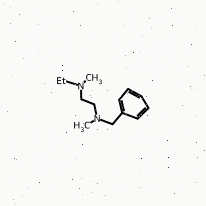 CCN(C)CCN(C)Cc1ccccc1